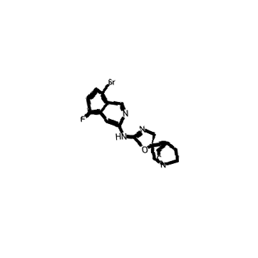 Fc1ccc(Br)c2cnc(NC3=NC[C@@]4(CN5CCC4CC5)O3)cc12